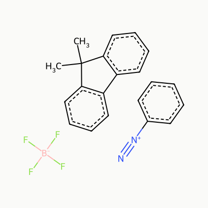 CC1(C)c2ccccc2-c2ccccc21.F[B-](F)(F)F.N#[N+]c1ccccc1